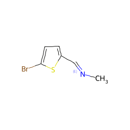 C/N=C/c1ccc(Br)s1